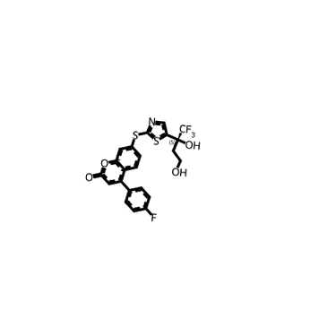 O=c1cc(-c2ccc(F)cc2)c2ccc(Sc3ncc([C@](O)(CCO)C(F)(F)F)s3)cc2o1